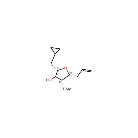 C=CC[C@H]1O[C@@H](CC2CC2)C(O)[C@H]1OC